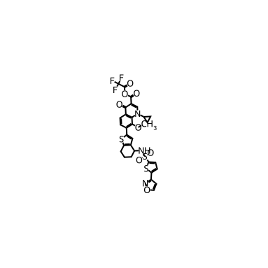 COc1c(-c2cc3c(s2)CCCC3NS(=O)(=O)c2ccc(-c3ccon3)s2)ccc2c(=O)c(C(=O)OC(=O)C(F)(F)F)cn(C3CC3)c12